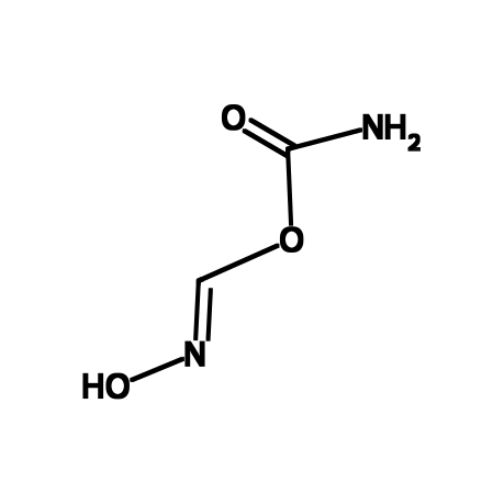 NC(=O)OC=NO